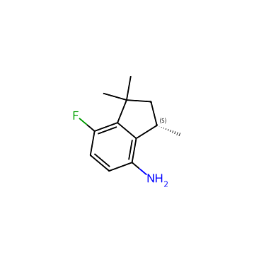 C[C@H]1CC(C)(C)c2c(F)ccc(N)c21